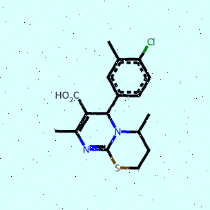 CC1=C(C(=O)O)C(c2ccc(Cl)c(C)c2)N2C(=N1)SCCC2C